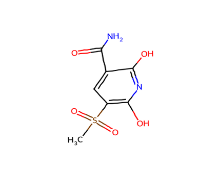 CS(=O)(=O)c1cc(C(N)=O)c(O)nc1O